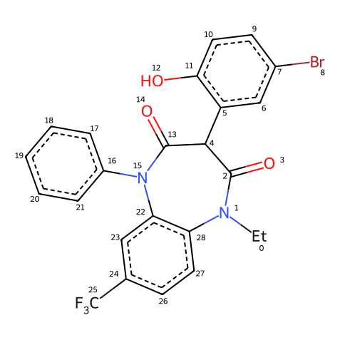 CCN1C(=O)C(c2cc(Br)ccc2O)C(=O)N(c2ccccc2)c2cc(C(F)(F)F)ccc21